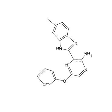 Cc1ccc2nc(-c3nc(Oc4cccnc4)cnc3N)[nH]c2c1